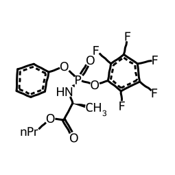 CCCOC(=O)[C@H](C)N[P@](=O)(Oc1ccccc1)Oc1c(F)c(F)c(F)c(F)c1F